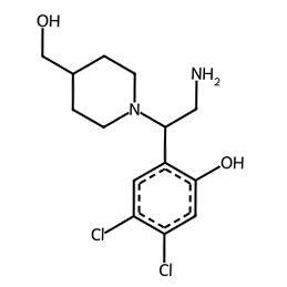 NCC(c1cc(Cl)c(Cl)cc1O)N1CCC(CO)CC1